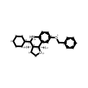 c1ccc(COc2ccc3c(c2)[C@H]2OCC[C@H]2C(C2CCCCC2)N3)cc1